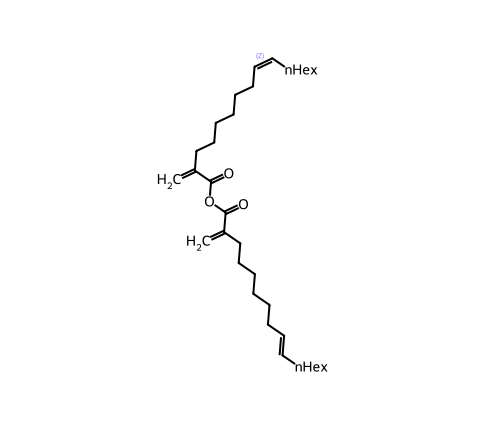 C=C(CCCCCCC=CCCCCCC)C(=O)OC(=O)C(=C)CCCCCC/C=C\CCCCCC